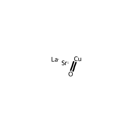 [La].[O]=[Cu].[Sr]